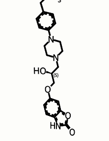 CCc1ccc(N2CCN(C[C@H](O)COc3ccc4[nH]c(=O)oc4c3)CC2)cc1